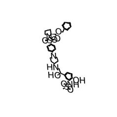 CS(=O)(=O)Nc1cc([C@@H](O)CNC2CCN(c3ccc(S(=O)(=O)N4CCC[C@H]4C(=O)OCc4ccccc4)cc3)CC2)ccc1O